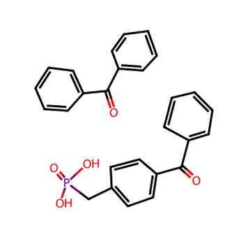 O=C(c1ccccc1)c1ccc(CP(=O)(O)O)cc1.O=C(c1ccccc1)c1ccccc1